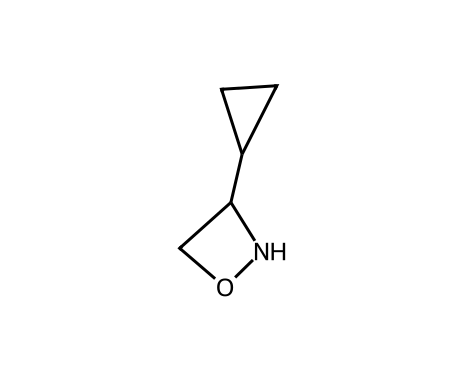 C1CC1C1CON1